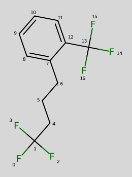 FC(F)(F)CC[CH]c1ccccc1C(F)(F)F